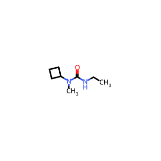 CCNC(=O)N(C)C1CCC1